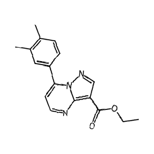 CCOC(=O)c1cnn2c(-c3ccc(C)c(C)c3)ccnc12